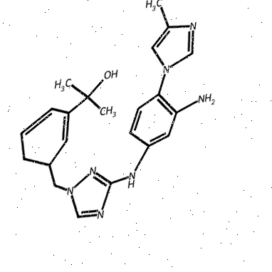 Cc1cn(-c2ccc(Nc3ncn(CC4C=C(C(C)(C)O)C=CC4)n3)cc2N)cn1